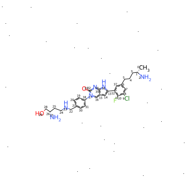 C[C@H](N)CCCc1cc(Cl)c(F)c(-c2cc3cn(-c4ccc(CNCC[C@H](N)CO)cc4)c(=O)nc3[nH]2)c1